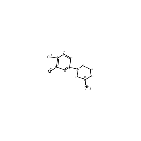 N[C@H]1[CH]N(c2cnc(Cl)c(Cl)c2)CCC1